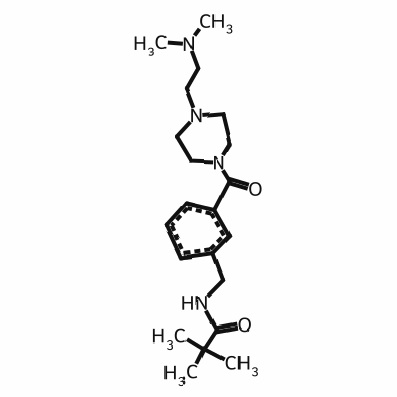 CN(C)CCN1CCN(C(=O)c2cccc(CNC(=O)C(C)(C)C)c2)CC1